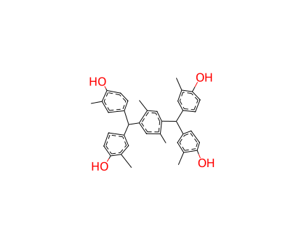 Cc1cc(C(c2ccc(O)c(C)c2)c2cc(C)c(C(c3ccc(O)c(C)c3)c3ccc(O)c(C)c3)cc2C)ccc1O